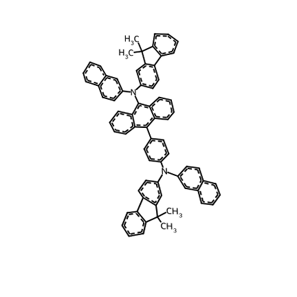 CC1(C)c2ccccc2-c2ccc(N(c3ccc(-c4c5ccccc5c(N(c5ccc6c(c5)C(C)(C)c5ccccc5-6)c5ccc6ccccc6c5)c5ccccc45)cc3)c3ccc4ccccc4c3)cc21